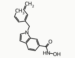 C=C/C=C(\C=C/C)Cn1ccc2ccc(C(=O)NO)cc21